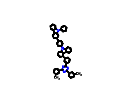 Cc1cccc(-c2nc(-c3cccc(C)c3)nc(-c3cccc(-c4cccc5c4c4ccccc4n5-c4ccc(-c5ccc6c7ccccc7n(-c7ccccc7)c6c5)cc4)c3)n2)c1